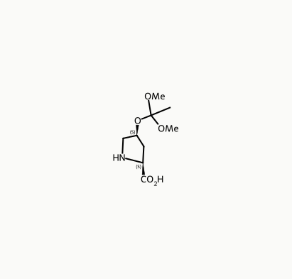 COC(C)(OC)O[C@@H]1CN[C@H](C(=O)O)C1